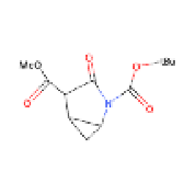 COC(=O)C1C(=O)N(C(=O)OC(C)(C)C)C2CC12